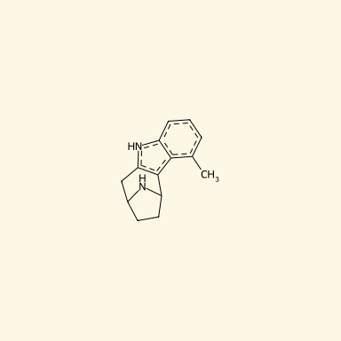 Cc1cccc2[nH]c3c(c12)C1CCC(C3)N1